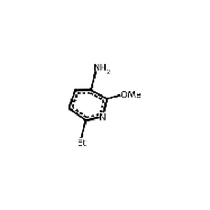 CCc1ccc(N)c(OC)n1